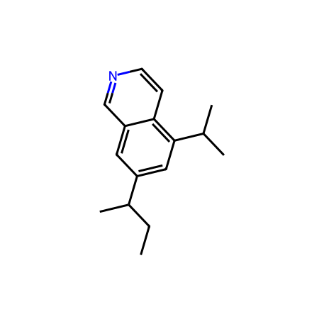 CCC(C)c1cc(C(C)C)c2ccncc2c1